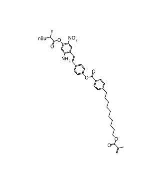 C=C(C)C(=O)OCCCCCCCCCCc1ccc(C(=O)Oc2ccc(C=Cc3cc([N+](=O)[O-])c(OC(=O)C(F)CCCC)cc3N)cc2)cc1